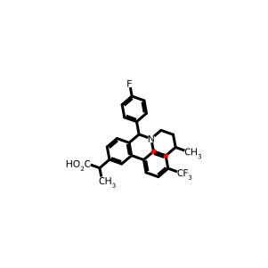 CC1CCN(C(c2ccc(F)cc2)c2ccc(C(C)C(=O)O)cc2-c2ccc(C(F)(F)F)cc2)CC1